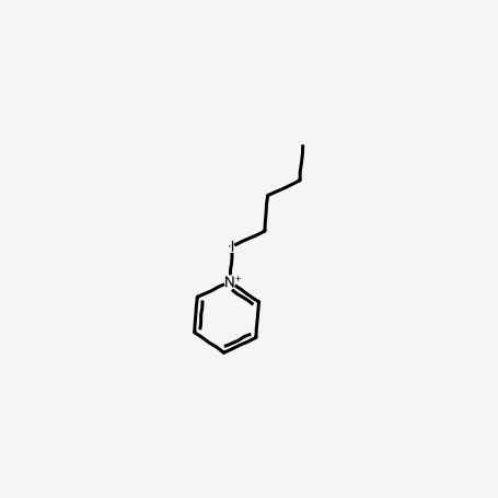 CCCC[I][n+]1ccccc1